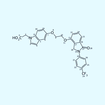 O=C(O)Cn1ccc2cc(OCCOc3cccc4c3CN(c3ccc(C(F)(F)F)cc3)C4=O)ccc21